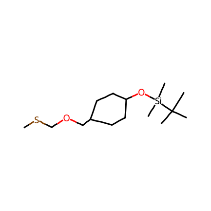 CSCOCC1CCC(O[Si](C)(C)C(C)(C)C)CC1